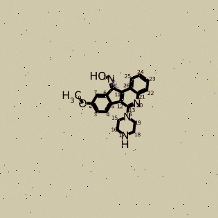 COc1ccc2c(c1)/C(=N\O)c1c-2c(N2CCNCC2)nc2ccccc12